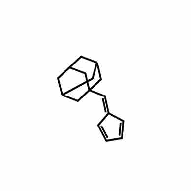 C1=CC(=CC23CC4CC(CC(C4)C2)C3)C=C1